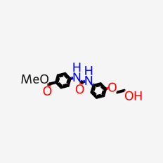 COC(=O)c1ccc(NC(=O)Nc2cccc(OCCO)c2)cc1